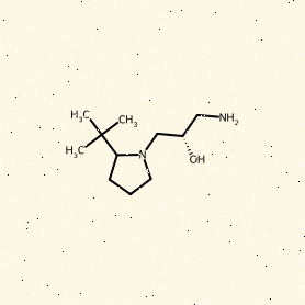 CC(C)(C)C1CCCN1C[C@@H](O)CN